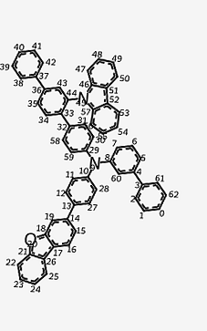 c1ccc(-c2cccc(N(c3ccc(-c4ccc5c(c4)oc4ccccc45)cc3)c3ccc(-c4ccc(-c5ccccc5)cc4-n4c5ccccc5c5ccccc54)cc3)c2)cc1